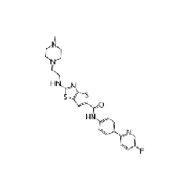 CN1CCN(CCNc2nc3sc(C(=O)Nc4ccc(-c5ccc(F)cn5)cc4)cc3s2)CC1